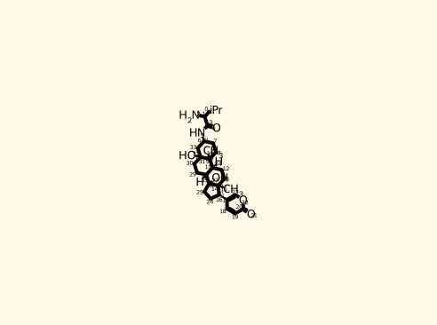 CC(C)C(N)C(=O)N[C@H]1CC[C@]2(C)[C@H]3CC[C@]4(C)[C@@H](c5ccc(=O)oc5)CC[C@]4(O)[C@@H]3CC[C@]2(O)C1